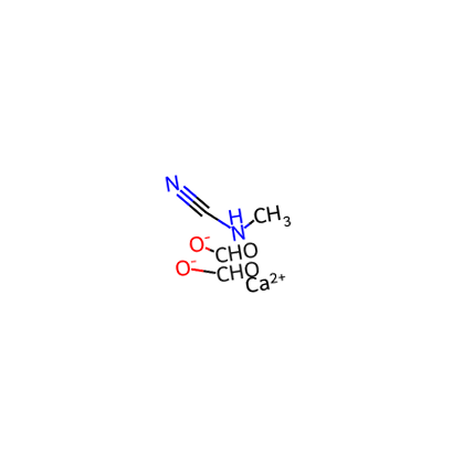 CNC#N.O=C[O-].O=C[O-].[Ca+2]